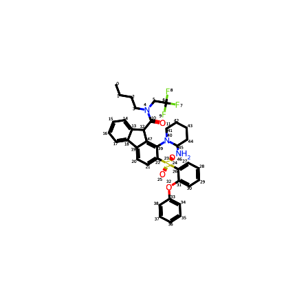 CCCCN(CC(F)(F)F)C(=O)C1c2ccccc2-c2ccc(S(=O)(=O)c3ccccc3Oc3ccccc3)c(N3CCCCC3N)c21